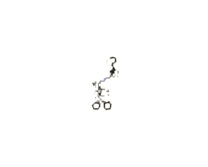 CC[C@@H](O[Si](c1ccccc1)(c1ccccc1)C(C)(C)C)[C@@]1(C)OC(=O)N(C/C=C/Cn2cc(-c3ccccn3)nn2)[C@@H]1C(C)=O